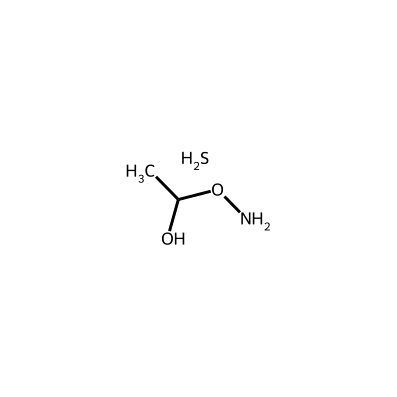 CC(O)ON.S